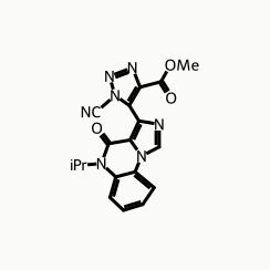 COC(=O)c1nnn(C#N)c1-c1ncn2c1c(=O)n(C(C)C)c1ccccc12